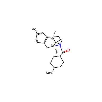 COC1CCC(C(=O)N2CC[C@]3(C)c4cc(C(C)=O)ccc4C[C@H]2C3(C)C)CC1